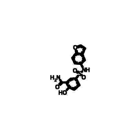 NC(=O)c1cc(S(=O)(=O)Nc2ccc3occc3c2)ccc1O